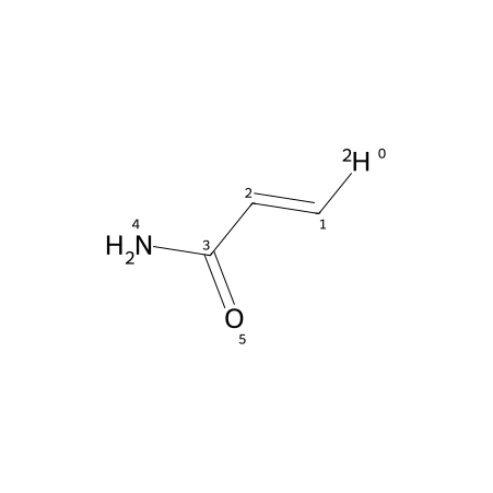 [2H]/C=C/C(N)=O